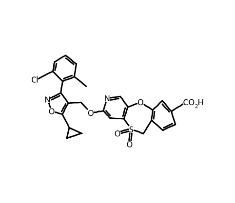 Cc1cccc(Cl)c1-c1noc(C2CC2)c1COc1cc2c(cn1)Oc1cc(C(=O)O)ccc1CS2(=O)=O